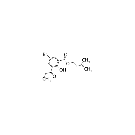 CCC(=O)c1cc(Br)cc(C(=O)OCCN(C)C)c1O